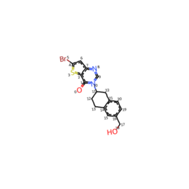 O=c1c2sc(Br)cc2ncn1C1CCc2cc(CO)ccc2C1